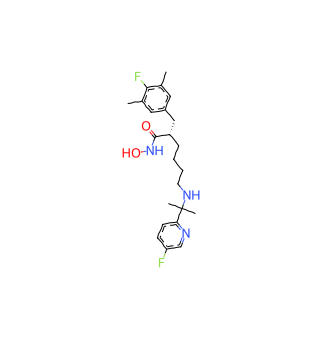 Cc1cc(C[C@H](CCCCNC(C)(C)c2ccc(F)cn2)C(=O)NO)cc(C)c1F